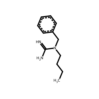 CCCCN(Cc1ccccc1)C(=N)N